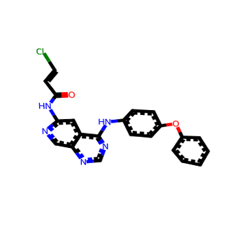 O=C(C=CCl)Nc1cc2c(Nc3ccc(Oc4ccccc4)cc3)ncnc2cn1